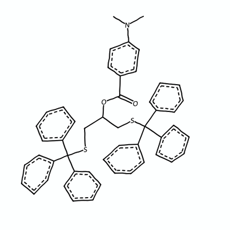 CN(C)c1ccc(C(=O)OC(CSC(c2ccccc2)(c2ccccc2)c2ccccc2)CSC(c2ccccc2)(c2ccccc2)c2ccccc2)cc1